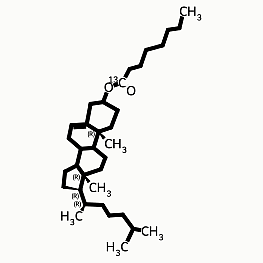 CCCCCCC[13C](=O)OC1CC[C@@]2(C)C(=CCC3C2CC[C@@]2(C)C3CC[C@@H]2[C@H](C)CCCC(C)C)C1